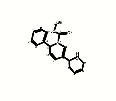 CC(C)(C)OC(=O)N1C=C(C2CC=CCN2)C=CC1c1ccccc1